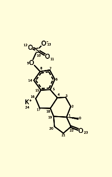 C[C@]12CCC3c4ccc(OS(=O)(=O)[O-])cc4CCC3C1CCC2=O.[K+]